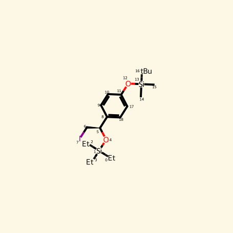 CC[Si](CC)(CC)O[C@@H](CI)c1ccc(O[Si](C)(C)C(C)(C)C)cc1